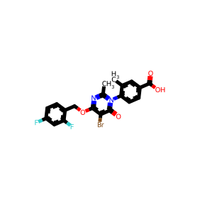 Cc1cc(C(=O)O)ccc1-n1c(C)nc(OCc2ccc(F)cc2F)c(Br)c1=O